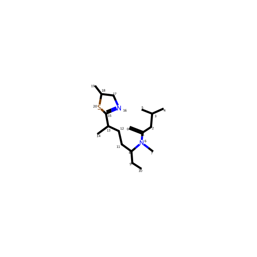 C=C(CC(C)C)N(C)C(CC)CCC(C)C1=NCC(C)S1